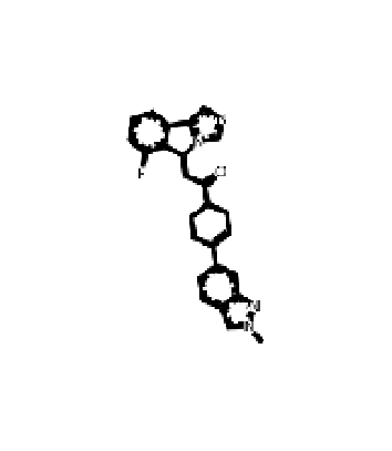 Cn1cc2ccc(C3=CCC(C(=O)CC4c5c(F)cccc5-c5cncn54)CC3)cc2n1